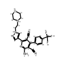 N#Cc1c(N)nc(-c2cnn(CCN3CCOCC3)c2)c(C#N)c1-c1ccc(C(F)(F)F)cc1